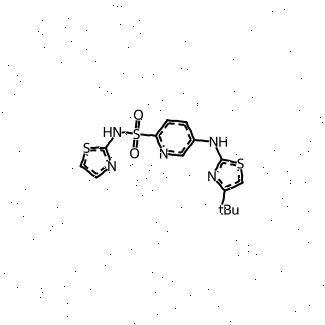 CC(C)(C)c1csc(Nc2ccc(S(=O)(=O)Nc3nccs3)nc2)n1